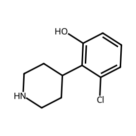 Oc1cccc(Cl)c1C1CCNCC1